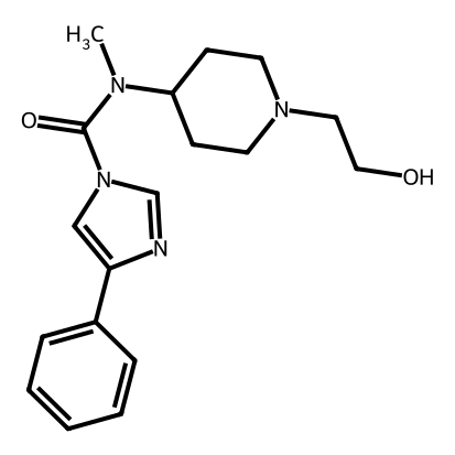 CN(C(=O)n1cnc(-c2ccccc2)c1)C1CCN(CCO)CC1